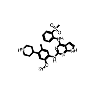 Cc1cc(Nc2nc(Nc3ccccc3S(C)(=O)=O)c3cc[nH]c3n2)c(OC(C)C)cc1C1CCNCC1